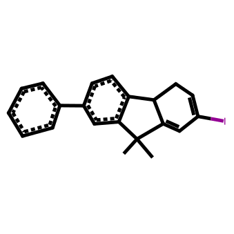 CC1(C)C2=CC(I)=CCC2c2ccc(-c3ccccc3)cc21